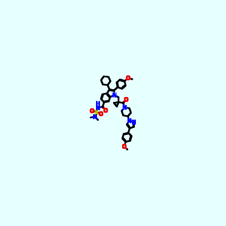 COc1ccc(-c2cnn(C3CCN(C(=O)C4(Cn5c(-c6ccc(OC)cc6)c(C6CCCCC6)c6ccc(C(=O)NS(=O)(=O)N(C)C)cc65)CC4)CC3)c2)cc1